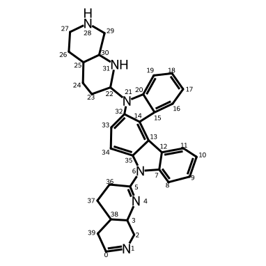 C1=NCC2N=C(n3c4ccccc4c4c5c6ccccc6n(C6CCC7CCNCC7N6)c5ccc43)CCC2C1